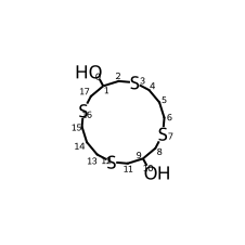 OC1CSCCCSCC(O)CSCCCSC1